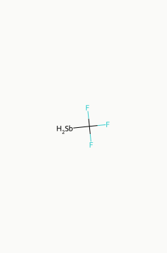 F[C](F)(F)[SbH2]